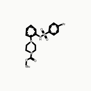 CC(C)c1ccc(S(=O)(=O)Nc2ccccc2N2CCN(C(=O)OC(C)(C)C)CC2)cc1